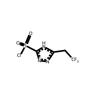 O=S(=O)(Cl)c1nnc(CC(F)(F)F)[nH]1